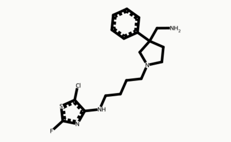 NCC1(c2ccccc2)CCN(CCCCNc2nc(F)sc2Cl)C1